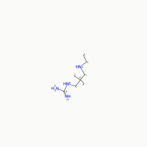 CCNCC(C)(C)CNC(=N)N